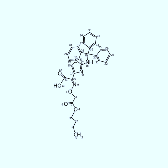 CCCCOC(=O)CON=C(C(=O)O)c1csc(NC(c2ccccc2)(c2ccccc2)c2ccccc2)n1